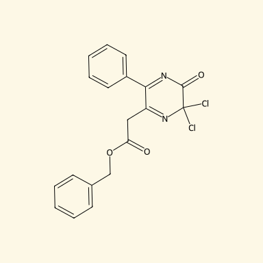 O=C(CC1=NC(Cl)(Cl)C(=O)N=C1c1ccccc1)OCc1ccccc1